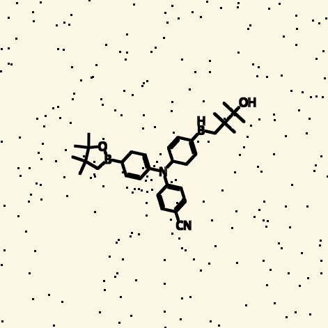 CC(C)(O)C(C)(C)CBC1=CCC(N(C2=CCC(B3CC(C)(C)C(C)(C)O3)C=C2)c2ccc(C#N)cc2)C=C1